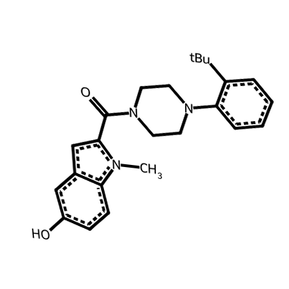 Cn1c(C(=O)N2CCN(c3ccccc3C(C)(C)C)CC2)cc2cc(O)ccc21